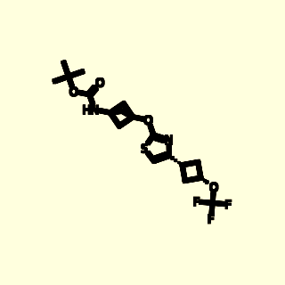 CC(C)(C)OC(=O)NC12CC(Oc3nc([C@H]4C[C@@H](OC(F)(F)F)C4)cs3)(C1)C2